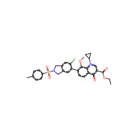 CCOC(=O)c1cn(C2CC2)c2c(OC)c(-c3cc4c(cc3F)CN(S(=O)(=O)c3ccc(C)cc3)C4)ccc2c1=O